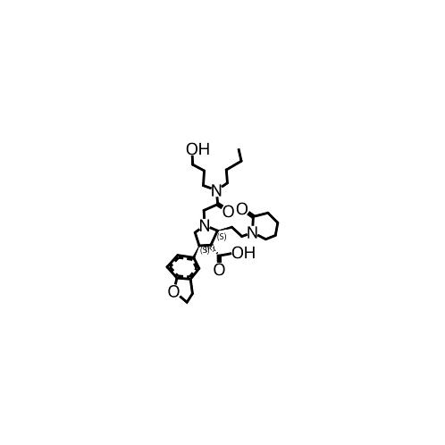 CCCCN(CCCO)C(=O)CN1C[C@H](c2ccc3c(c2)CCO3)[C@@H](C(=O)O)[C@@H]1CCN1CCCCC1=O